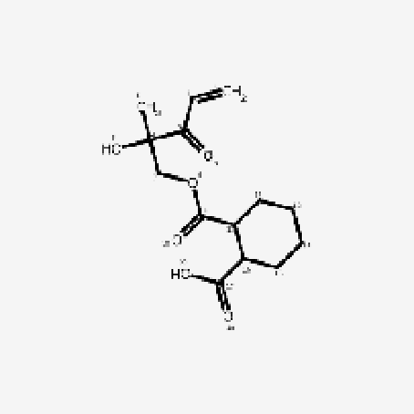 C=CC(=O)C(C)(O)COC(=O)C1CCCCC1C(=O)O